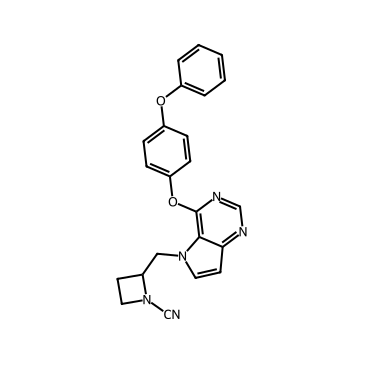 N#CN1CCC1Cn1ccc2ncnc(Oc3ccc(Oc4ccccc4)cc3)c21